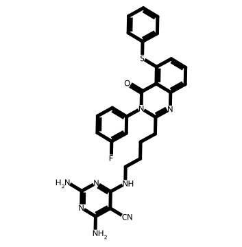 N#Cc1c(N)nc(N)nc1NCCCCc1nc2cccc(Sc3ccccc3)c2c(=O)n1-c1cccc(F)c1